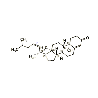 CC(C)C/C=C\[C@@H](C)[C@H]1CC[C@H]2[C@@H]3CCC4=CC(=O)CC[C@]4(C)[C@H]3CC[C@]12C